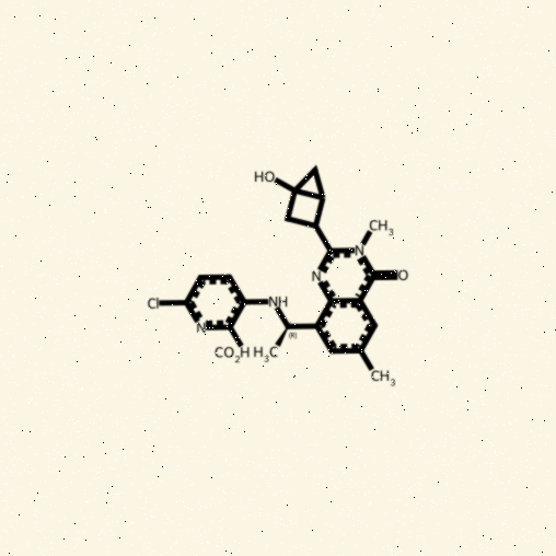 Cc1cc([C@@H](C)Nc2ccc(Cl)nc2C(=O)O)c2nc(C3CC4(O)CC34)n(C)c(=O)c2c1